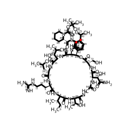 CC[C@H](C)C1NC(=O)[C@@H](CCCNC(=N)N)NC(=O)[C@H](CC(C)C)NC(=O)[C@H]([C@H](O)C(C)C)NC(=O)[C@@H](NC(=O)[C@H](CC(C)C)NC(=O)[C@@H]2CCCCN2C(=O)OC(C)(C)C)[C@@H](c2ccccc2)OC(=O)[C@H](CO)NC(=O)[C@H]([C@H](O)C(N)=O)NC(=O)CNC(=O)C([C@H](C)O)NC1=O